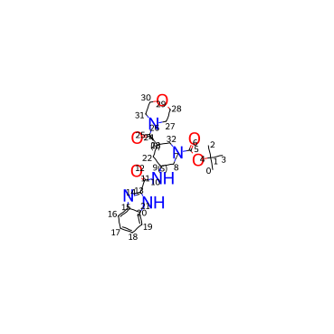 CC(C)(C)OC(=O)N1C[C@@H](NC(=O)c2nc3ccccc3[nH]2)C[C@@H](C(=O)N2CCOCC2)C1